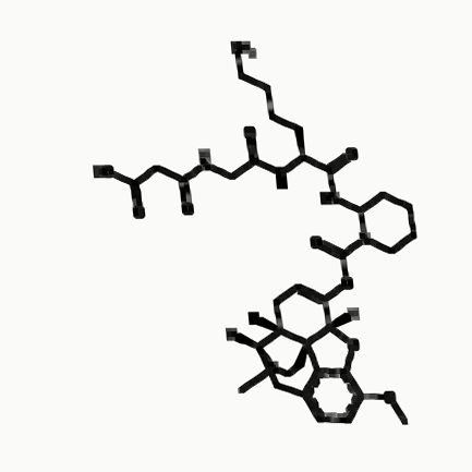 COc1ccc2c3c1O[C@H]1C(OC(=O)N4CCCCC4NC(=O)[C@H](CCCCN)NC(=O)CNC(=O)CC(=O)O)=CC[C@H]4[C@@H](C2)N(C)CC[C@]314